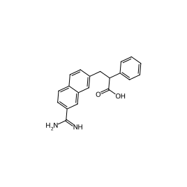 N=C(N)c1ccc2ccc(CC(C(=O)O)c3ccccc3)cc2c1